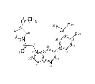 COC1CCN(C(=O)Cn2ncc3ncc(-c4ccc(F)c(C(F)F)c4)cc32)C1